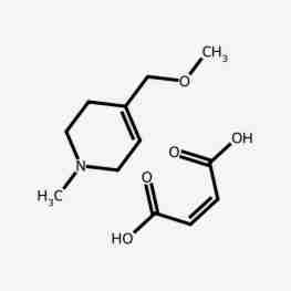 COCC1=CCN(C)CC1.O=C(O)/C=C\C(=O)O